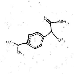 CC(C(N)=O)c1ccc(N(C)C)cc1